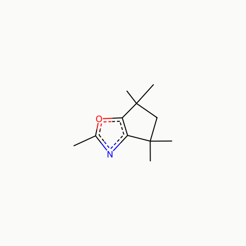 Cc1nc2c(o1)C(C)(C)CC2(C)C